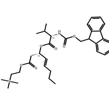 CCC/C=C/[C@H](CC(=O)OCC[Si](C)(C)C)OC(=O)[C@@H](NC(=O)OCC1c2ccccc2-c2ccccc21)C(C)C